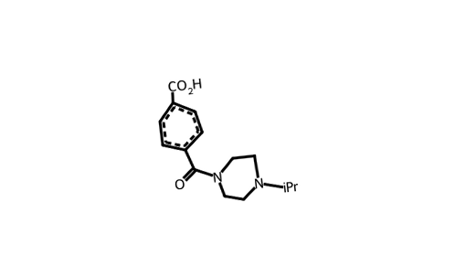 CC(C)N1CCN(C(=O)c2ccc(C(=O)O)cc2)CC1